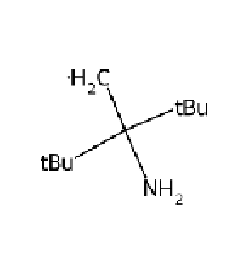 [CH2]C(N)(C(C)(C)C)C(C)(C)C